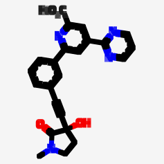 CCOC(=O)c1cc(-c2ncccn2)cc(-c2cccc(C#C[C@]3(O)CCN(C)C3=O)c2)n1